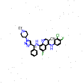 CCN1CCC(n2cc([C@@H](Nc3cc(F)cc4c(Nc5ccc(F)c(Cl)c5)c(C#N)cnc34)c3ccccc3)nn2)CC1